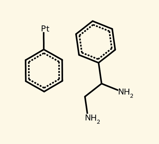 NCC(N)c1ccccc1.[Pt][c]1ccccc1